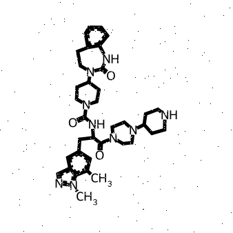 Cc1cc(CC(NC(=O)N2CCC(N3CCc4ccccc4NC3=O)CC2)C(=O)N2CCN(C3CCNCC3)CC2)cc2cnn(C)c12